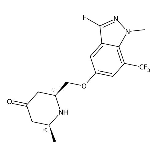 C[C@H]1CC(=O)C[C@@H](COc2cc(C(F)(F)F)c3c(c2)c(F)nn3C)N1